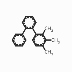 Cc1ccc(-c2ccccc2-c2ccccc2)c(C)c1C